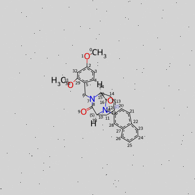 COc1ccc(CN2C(=O)[C@@H]3C/C=C\C[C@H]2C(=O)N3c2ccc3ccccc3c2)c(OC)c1